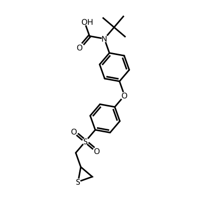 CC(C)(C)N(C(=O)O)c1ccc(Oc2ccc(S(=O)(=O)CC3CS3)cc2)cc1